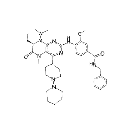 CC[C@@H]1C(=O)N(C)c2c(C3CCN(N4CCCCC4)CC3)nc(Nc3ccc(C(=O)NCc4ccccc4)cc3OC)nc2N1N(C)C